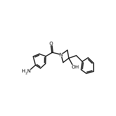 Nc1ccc(C(=O)N2CC(O)(Cc3ccccc3)C2)cc1